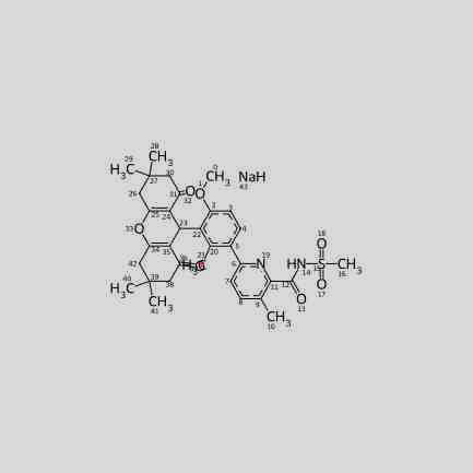 COc1ccc(-c2ccc(C)c(C(=O)NS(C)(=O)=O)n2)c(C)c1C1C2=C(CC(C)(C)CC2=O)OC2=C1C(=O)CC(C)(C)C2.[NaH]